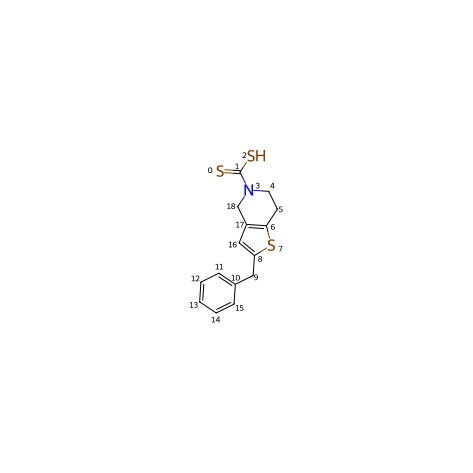 S=C(S)N1CCc2sc(Cc3ccccc3)cc2C1